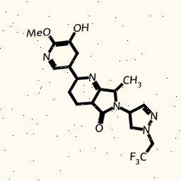 COC1=C(O)CC(C2CCC3C(=O)N(C4C=NN(CC(F)(F)F)C4)C(C)C3=N2)C=N1